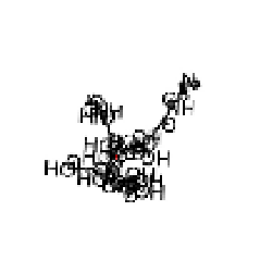 CO[C@H]1O[C@H](CO[C@H]2O[C@H](CO[C@H]3O[C@H](CO[C@H]4O[C@H](CO)[C@@H](OCCCCCC(=O)CCCNC(=O)CCSSc5ccccn5)[C@H](O)[C@H]4O)[C@@H](OCCCCCC(=O)NNC(=O)OC(C)(C)C)[C@H](O)[C@H]3O)[C@@H](OCCCCCC(=O)O)[C@H](O)[C@H]2O)[C@@H](O)[C@H](O)[C@H]1O